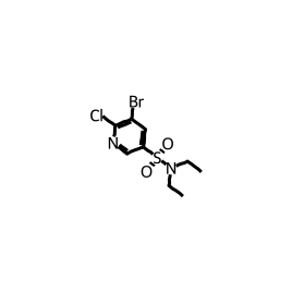 CCN(CC)S(=O)(=O)c1cnc(Cl)c(Br)c1